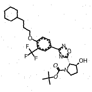 CC(C)(C)OC(=O)N1CC[C@H](O)[C@H]1c1nc(-c2ccc(OCCCC3CCCCC3)c(C(F)(F)F)c2)no1